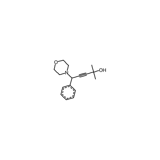 CC(C)(O)C#CC(c1ccccc1)N1CCOCC1